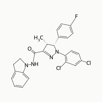 C[C@H]1C(C(=O)NN2CCc3ccccc32)=NN(c2ccc(Cl)cc2Cl)[C@H]1c1ccc(F)cc1